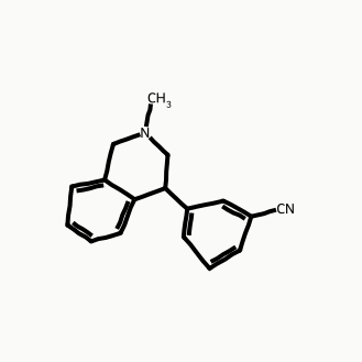 CN1Cc2ccccc2C(c2cccc(C#N)c2)C1